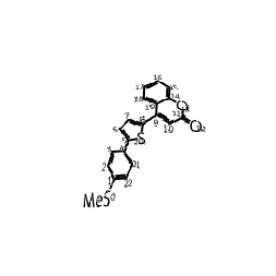 CSc1ccc(-c2ccc(-c3cc(=O)oc4ccccc34)s2)cc1